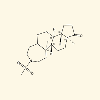 C[C@]12CCN(S(C)(=O)=O)CCC1CC[C@@H]1[C@@H]2CC[C@]2(C)C(=O)CC[C@@H]12